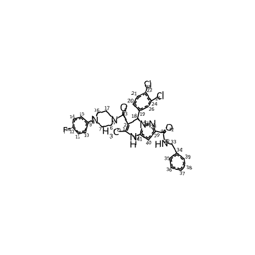 CC1=C(C(=O)N2CCN(c3ccc(F)cc3)CC2)C(c2ccc(Cl)c(Cl)c2)n2nc(C(=O)NCc3ccccc3)cc2N1